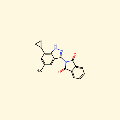 Cc1cc(C2CC2)c2[nH]nc(N3C(=O)c4ccccc4C3=O)c2c1